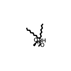 C#CC(=O)N(BC(CCCCCCC)CCCCCCCC)C(C)=O